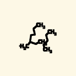 CCCCC.[CH2]C(CC)CCCC